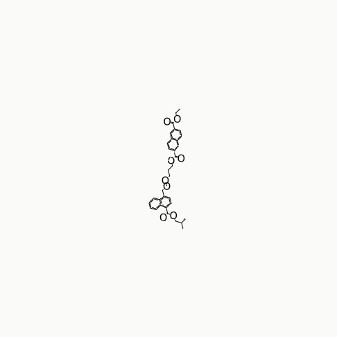 CCOC(=O)c1ccc2cc(C(=O)OCCCOOCc3ccc(C(=O)OCC(C)C)c4ccccc34)ccc2c1